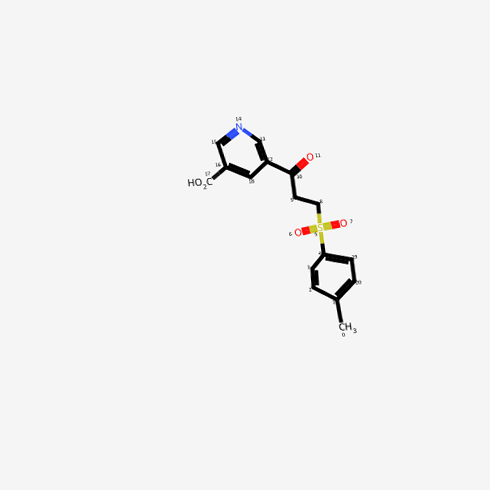 Cc1ccc(S(=O)(=O)CCC(=O)c2cncc(C(=O)O)c2)cc1